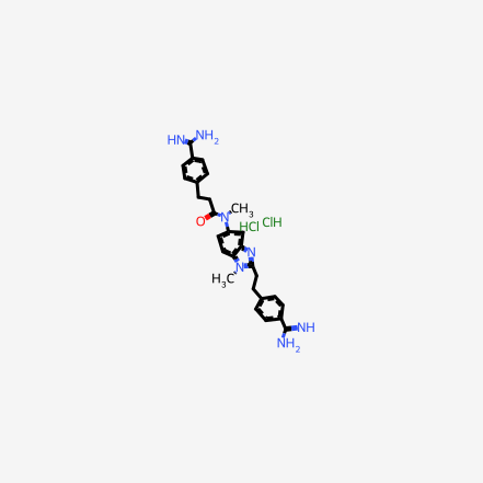 CN(C(=O)CCc1ccc(C(=N)N)cc1)c1ccc2c(c1)nc(CCc1ccc(C(=N)N)cc1)n2C.Cl.Cl